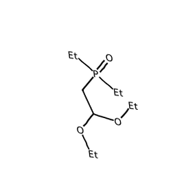 CCOC(CP(=O)(CC)CC)OCC